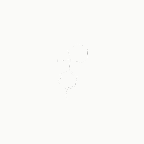 CC1(c2ccc(Cl)nc2)CCOCC1